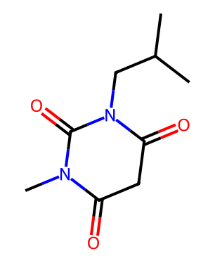 CC(C)CN1C(=O)CC(=O)N(C)C1=O